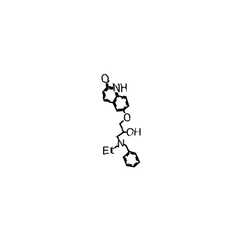 CCN(Cc1ccccc1)CC(O)COc1ccc2[nH]c(=O)ccc2c1